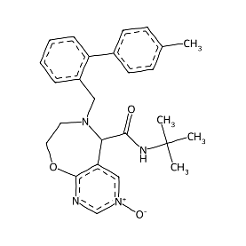 Cc1ccc(-c2ccccc2CN2CCOc3nc[n+]([O-])cc3C2C(=O)NC(C)(C)C)cc1